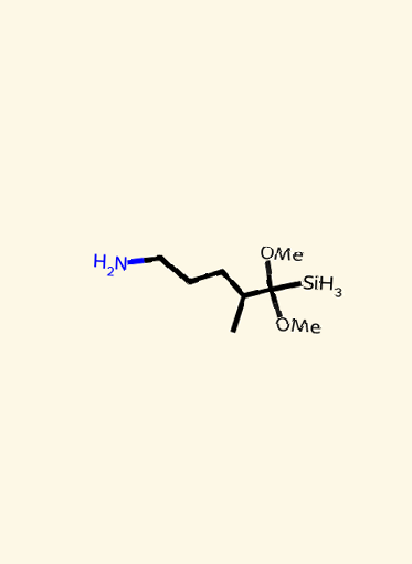 COC([SiH3])(OC)C(C)CCCN